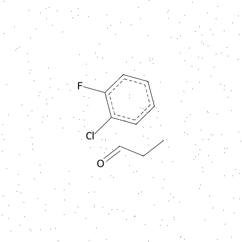 CCC=O.Fc1ccccc1Cl